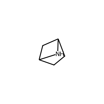 C1CC2CC1N2